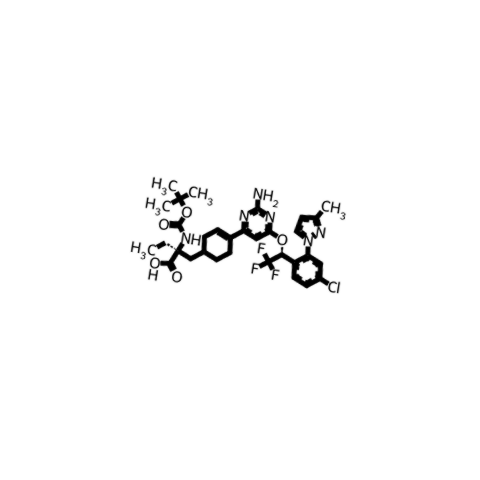 CC[C@@](CC1CC=C(c2cc(O[C@H](c3ccc(Cl)cc3-n3ccc(C)n3)C(F)(F)F)nc(N)n2)CC1)(NC(=O)OC(C)(C)C)C(=O)O